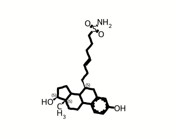 C[C@]12CCC3c4ccc(O)cc4C[C@H](CCC=CCCCS(N)(=O)=O)C3C1CC[C@@H]2O